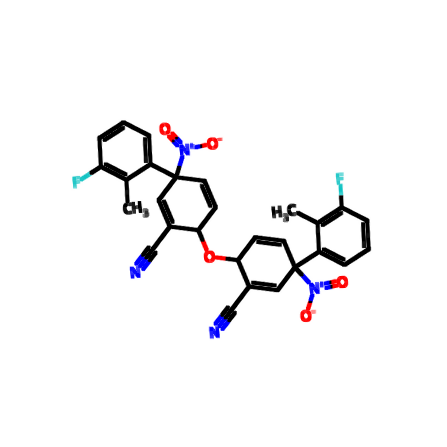 Cc1c(F)cccc1C1([N+](=O)[O-])C=CC(OC2C=CC(c3cccc(F)c3C)([N+](=O)[O-])C=C2C#N)C(C#N)=C1